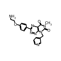 Cn1c(=O)c2nc(-c3ccc(OCCN)cc3)nnc2n(Cc2cccnc2)c1=O